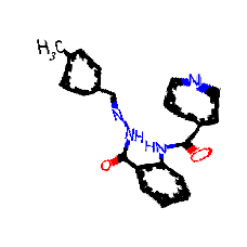 Cc1ccc(C=NNC(=O)c2ccccc2NC(=O)c2ccncc2)cc1